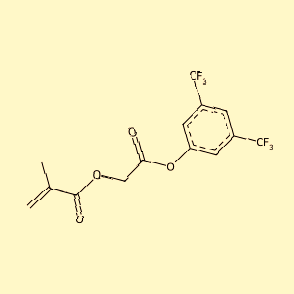 C=C(C)C(=O)OCC(=O)Oc1cc(C(F)(F)F)cc(C(F)(F)F)c1